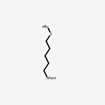 [CH2]CCCSCCCCCCCCCC